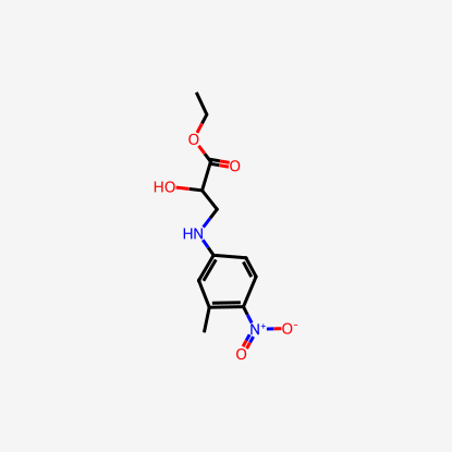 CCOC(=O)C(O)CNc1ccc([N+](=O)[O-])c(C)c1